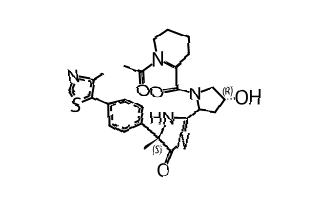 CC(=O)N1CCCCC1C(=O)N1C[C@H](O)CC1C1=NC(=O)[C@](C)(c2ccc(-c3scnc3C)cc2)N1